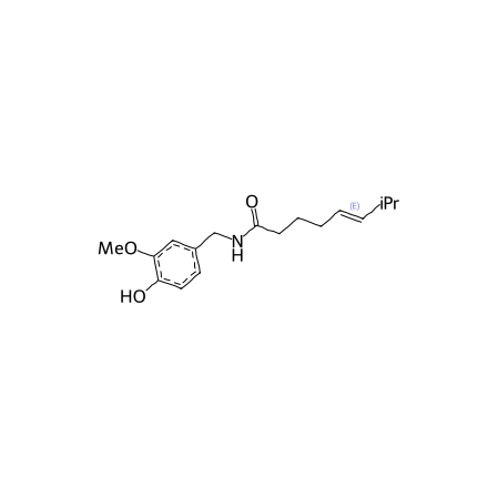 COc1cc(CNC(=O)CCC/C=C/C(C)C)ccc1O